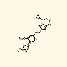 COc1cc(/C=C/c2nc3n(n2)CCCC3C2CC2)ccc1-n1cnc(C)c1